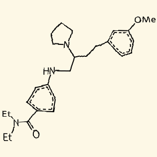 CCN(CC)C(=O)c1ccc(NCC(CCc2cccc(OC)c2)N2CCCC2)cc1